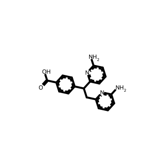 Nc1cccc(CC(c2ccc(C(=O)O)cc2)c2cccc(N)n2)n1